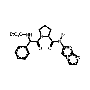 CCOC(=O)NC(C(=O)N1CCCC1C(=O)N(Br)c1cn2ccsc2n1)c1ccccc1